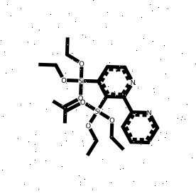 CCO[Si](OCC)(OCC)c1ccnc(-c2ccccn2)c1[Si](OCC)(OCC)OCC